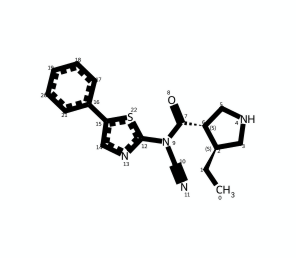 CC[C@@H]1CNC[C@H]1C(=O)N(C#N)c1ncc(-c2ccccc2)s1